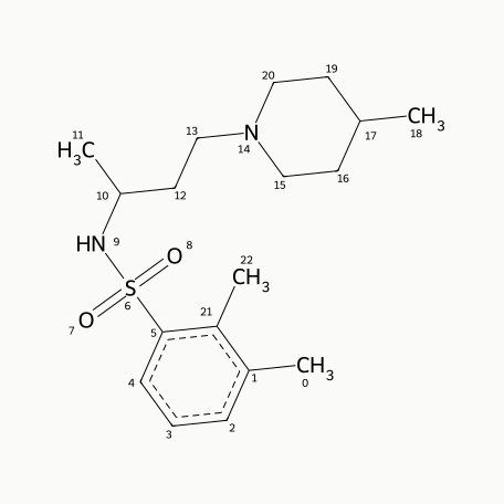 Cc1cccc(S(=O)(=O)NC(C)CCN2CCC(C)CC2)c1C